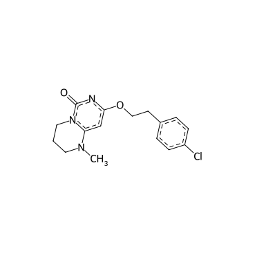 CN1CCCn2c1cc(OCCc1ccc(Cl)cc1)nc2=O